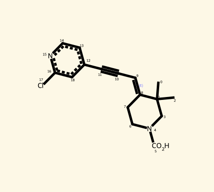 CC1(C)CN(C(=O)O)CC/C1=C\C#Cc1ccnc(Cl)c1